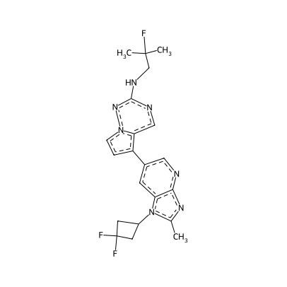 Cc1nc2ncc(-c3ccn4nc(NCC(C)(C)F)ncc34)cc2n1C1CC(F)(F)C1